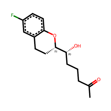 CC(=O)CCC[C@@H](O)[C@@H]1CCc2cc(F)ccc2O1